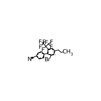 CCCc1[c]c(Br)c(-c2ccc(C#N)cc2)c(C(F)(C(F)(F)F)C(F)(F)F)c1